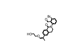 C/C(=C/OCCO)c1ccc2c(c1)CCN(c1cccc(Br)c1C=O)C2=O